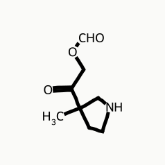 CC1(C(=O)COC=O)CCNC1